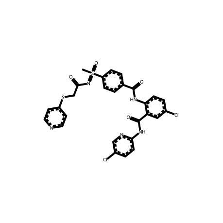 CS(=O)(=NC(=O)CSc1ccncc1)c1ccc(C(=O)Nc2ccc(Cl)cc2C(=O)Nc2ccc(Cl)cn2)cc1